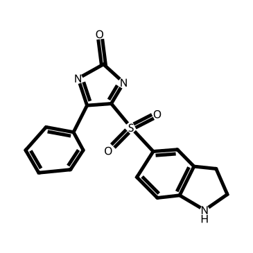 O=C1N=C(c2ccccc2)C(S(=O)(=O)c2ccc3c(c2)CCN3)=N1